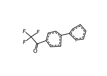 O=C(c1ccc(-c2[c]cccc2)cc1)C(F)(F)F